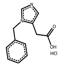 Cl.O=C(O)Cc1cncn1Cc1ccccc1